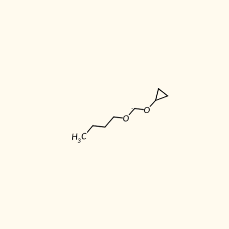 CCCCO[CH]OC1CC1